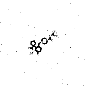 CC(C)(C)OC(=O)C1(c2cc(Cl)ccc2CN2CCN(C(=O)OC(C(F)(F)F)C(F)(F)F)CC2)CCCC1